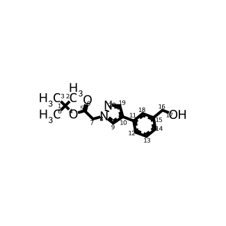 CC(C)(C)OC(=O)Cn1cc(-c2cccc(CO)c2)cn1